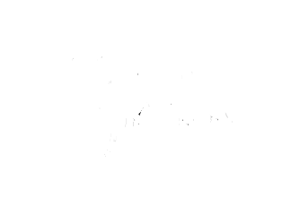 Br.Br.NNC(=O)[C@@H](N)Cc1ccccc1